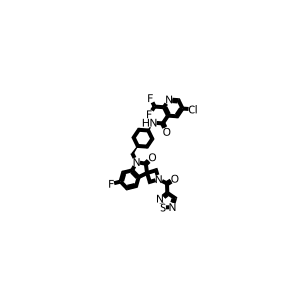 O=C(N[C@H]1CC[C@H](CN2C(=O)C3(CN(C(=O)c4cnsn4)C3)c3ccc(F)cc32)CC1)c1cc(Cl)cnc1C(F)F